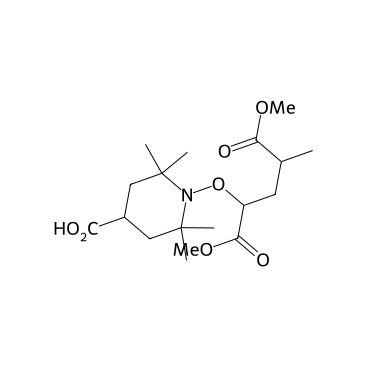 COC(=O)C(C)CC(ON1C(C)(C)CC(C(=O)O)CC1(C)C)C(=O)OC